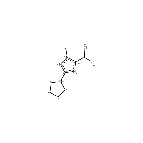 Cn1nc(N2CCCC2)nc1C(Cl)Cl